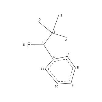 CC(C)(C)C(F)c1ccccc1